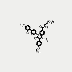 Cc1cc(C(F)(F)F)ccc1-c1ccc(NC(=O)C(c2ccc(OCC(C)(C)C)cc2)C(C)c2ccc(C(=O)NCCS(=O)(=O)O)cc2)cc1